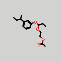 CCC(OCCOC(C)=O)Oc1cccc(C(C)CC)c1